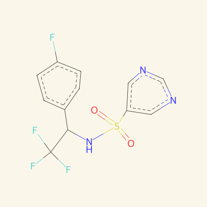 O=S(=O)(NC(c1ccc(F)cc1)C(F)(F)F)c1cncnc1